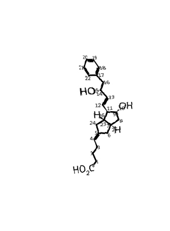 O=C(O)CCC/C=C1\C[C@@H]2C[C@@H](O)[C@H](/C=C/[C@H](O)Cc3ccccc3)[C@H]2C1